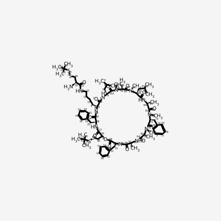 CC(C)C[C@@H]1NC(=O)[C@H](CCCCNC(=O)[C@@H](N)CSSC(C)(C)C)NC(=O)[C@H](Cc2ccccc2)NC(=O)C(CSSC(C)(C)C)OC(=O)[C@H](Cc2ccccc2)NC(=O)[C@H](C)NC(=O)[C@H](C)N(C)C(=O)[C@H](Cc2ccccc2)N(C)C(=O)[C@H](C)NC(=O)[C@H](CC(C)C)N(C)C(=O)[C@H](C)N(C)C1=O